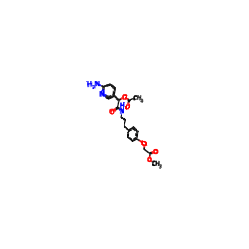 COC(=O)COc1ccc(CCCNC(=O)C(OC(C)=O)c2ccc(N)nc2)cc1